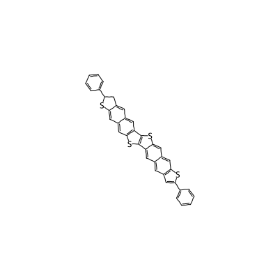 c1ccc(-c2cc3cc4cc5c(cc4cc3s2)sc2c3cc4cc6c(cc4cc3sc52)SC(c2ccccc2)C6)cc1